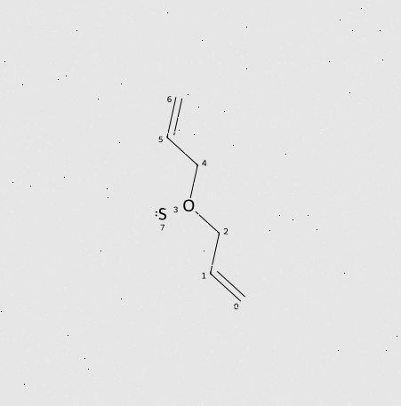 C=CCOCC=C.[S]